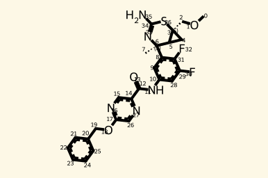 COC[C@]12CC1[C@@](C)(c1cc(NC(=O)c3cnc(OCc4ccccc4)cn3)cc(F)c1F)N=C(N)S2